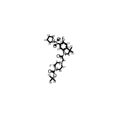 C[C@@H]1CN(CC(=O)N2CC(C)(C)c3cc(F)c(S(=O)(=O)N4CCCC4)cc32)CCN1C(=O)OC(C)(C)C